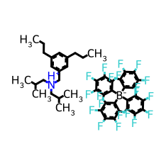 CCCc1cc(CCC)cc(C[NH+](CC(C)C)CC(C)C)c1.Fc1c(F)c(F)c([B-](c2c(F)c(F)c(F)c(F)c2F)(c2c(F)c(F)c(F)c(F)c2F)c2c(F)c(F)c(F)c(F)c2F)c(F)c1F